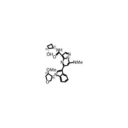 CNc1cc(-c2cn([C@@H]3COC[C@H]3OC)c3ccccc23)nc2c(C(=O)N[C@H]3CC[C@H]3O)cnn12